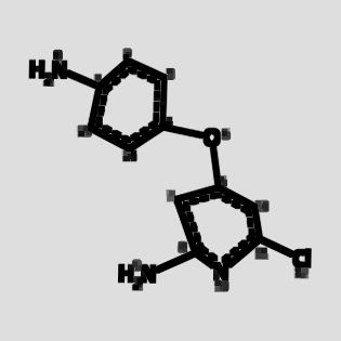 Nc1ccc(Oc2cc(N)nc(Cl)c2)cc1